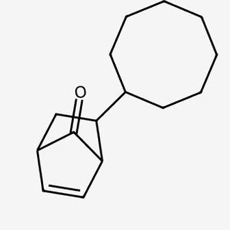 O=C1C2C=CC1C(C1CCCCCCC1)C2